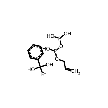 C=CCOP(O)OP(O)O.CCC(O)(O)c1ccccc1